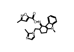 Cc1cc(C(=O)O/N=C2/c3c(n(C)c4ccccc34)CCC2Cn2ccnc2C)on1